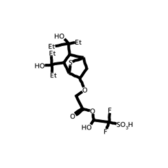 CCC(O)(CC)C1C2CC(OCC(=O)OC(O)C(F)(F)S(=O)(=O)O)C(S2)C1C(O)(CC)CC